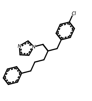 Clc1ccc(CC(CCCc2ccccc2)Cn2ccnc2)cc1